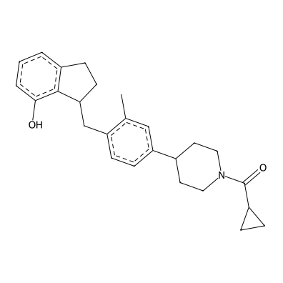 Cc1cc(C2CCN(C(=O)C3CC3)CC2)ccc1CC1CCc2cccc(O)c21